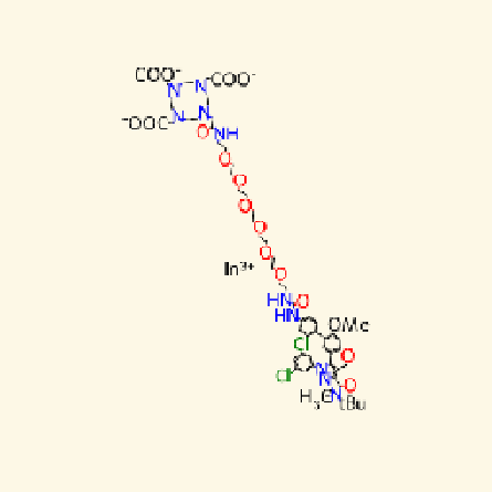 COc1cc2c(cc1-c1ccc(NC(=O)NCCOCCOCCOCCOCCOCCOCCNC(=O)CN3CCN(CC(=O)[O-])CCN(CC(=O)[O-])CCN(CC(=O)[O-])CC3)cc1)-c1c(c(C(=O)N(C)C(C)(C)C)nn1-c1cc(Cl)cc(Cl)c1)CO2.[In+3]